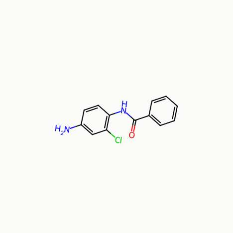 Nc1ccc(NC(=O)c2ccccc2)c(Cl)c1